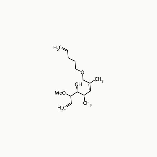 C=CCCCOC/C(C)=C\[C@@H](C)[C@H](O)C(C=C)OC